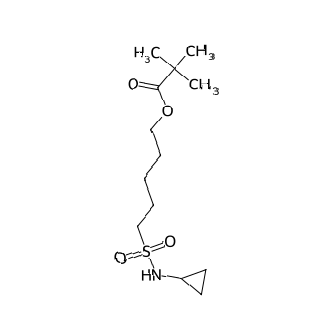 CC(C)(C)C(=O)OCCCCCS(=O)(=O)NC1CC1